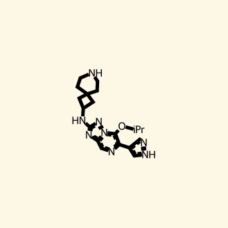 CC(C)Oc1c(-c2cn[nH]c2)ncc2nc(NC3CC4(CCNCC4)C3)nn12